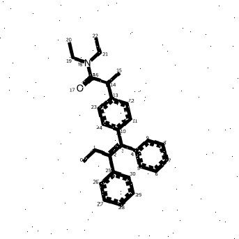 CCC(=C(c1ccccc1)c1ccc(C(C)C(=O)N(CC)CC)cc1)c1ccccc1